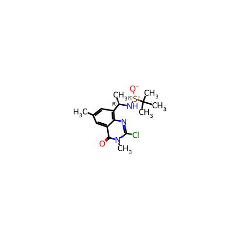 Cc1cc([C@@H](C)N[S@+]([O-])C(C)(C)C)c2nc(Cl)n(C)c(=O)c2c1